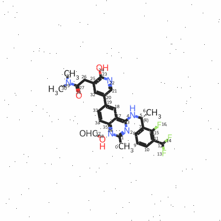 Cc1nc(N[C@H](C)c2cccc(C(F)F)c2F)c2cc(-c3cnc(O)c(CC(=O)N(C)C)c3)ccc2n1.O=CO